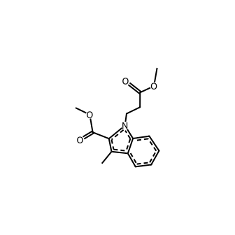 COC(=O)CCn1c(C(=O)OC)c(C)c2ccccc21